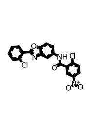 O=C(Nc1ccc2oc(-c3ccccc3Cl)nc2c1)c1cc([N+](=O)[O-])ccc1Cl